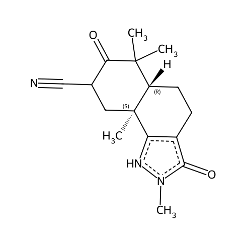 Cn1[nH]c2c(c1=O)CC[C@H]1C(C)(C)C(=O)C(C#N)C[C@]21C